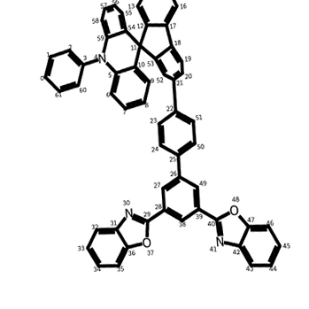 c1ccc(N2c3ccccc3C3(c4ccccc4-c4ccc(-c5ccc(-c6cc(-c7nc8ccccc8o7)cc(-c7nc8ccccc8o7)c6)cc5)cc43)c3ccccc32)cc1